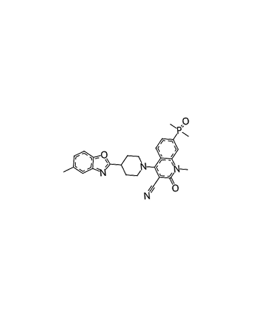 Cc1ccc2oc(C3CCN(c4c(C#N)c(=O)n(C)c5cc(P(C)(C)=O)ccc45)CC3)nc2c1